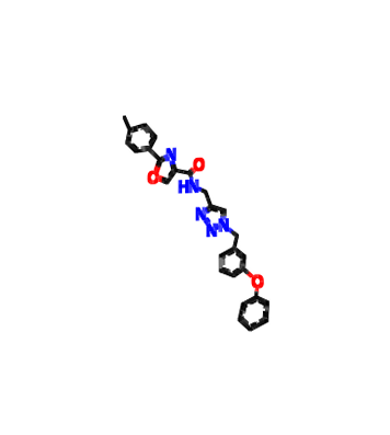 Cc1ccc(-c2nc(C(=O)NCc3cn(Cc4cccc(Oc5ccccc5)c4)nn3)co2)cc1